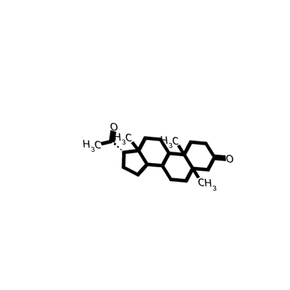 CC(=O)[C@H]1CCC2C3CCC4(C)CC(=O)CCC4(C)C3CCC21C